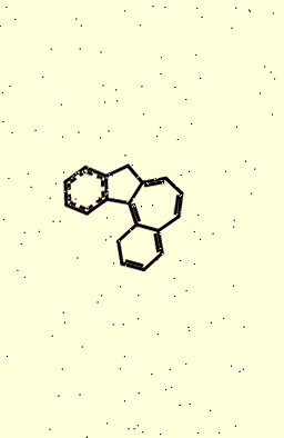 C1=CCC2=C3C(=CC=CC2=C1)Cc1ccccc13